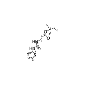 CCC(C)(C)OC(=O)CCNC(=O)Nc1nccs1